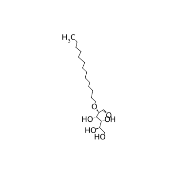 CCCCCCCCCCCCCCO[C@@H](C=O)[C@@H](O)[C@H](O)[C@H](O)CO